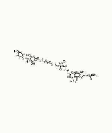 CC(C)[C@H](NC(=O)CCCCN1C(=O)CC(SCCOCCOCCOc2cc(O)c(C(=O)CCc3ccc(O)cc3)c(O)c2)C1=O)C(=O)NC(CCCNC(N)=O)C(N)=O